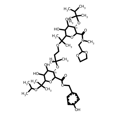 CC(C)OC(C)(C)C1OC(C(=O)OCc2ccc(O)cc2)[C@@H](OC(C)(C)CCOC(C)(C)C2OC(C(=O)N(C)CC3OCCO3)[C@@H](OC(C)(C)C(C)C)C(O)C2O)C(O)C1O